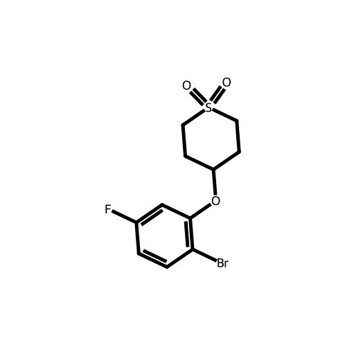 O=S1(=O)CCC(Oc2cc(F)ccc2Br)CC1